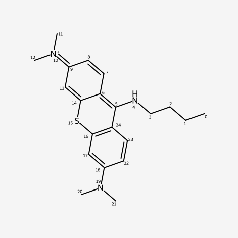 CCCCNc1c2ccc(=[N+](C)C)cc-2sc2cc(N(C)C)ccc12